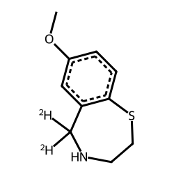 [2H]C1([2H])NCCSc2ccc(OC)cc21